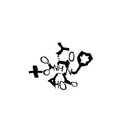 CC(C)C[C@@H](NC(=O)OC(C)(C)C)C(=O)N(Cc1ccccc1)[C@@H](CC1CC1)C(=O)O